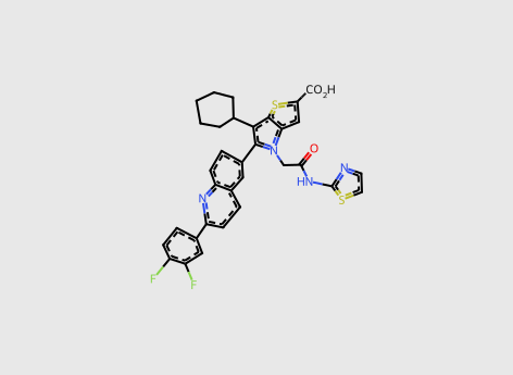 O=C(Cn1c(-c2ccc3nc(-c4ccc(F)c(F)c4)ccc3c2)c(C2CCCCC2)c2sc(C(=O)O)cc21)Nc1nccs1